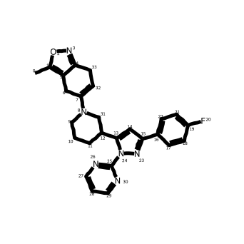 Cc1onc2c1CC(N1CCCC(c3cc(-c4ccc(F)cc4)nn3-c3ncccn3)C1)=CC2